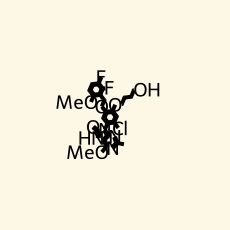 COc1ccc(F)c(F)c1COc1cc(-n2c(=O)[nH]c3c(OC)nc(C)nc32)c(Cl)cc1OCCCCO